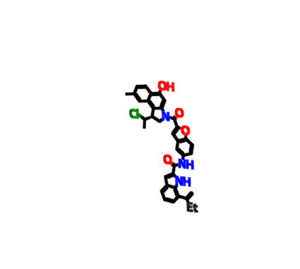 C=C(CC)c1cccc2cc(C(=O)Nc3ccc4oc(C(=O)N5C[C@@H](C(C)Cl)c6c5cc(O)c5ccc(C)cc65)cc4c3)[nH]c12